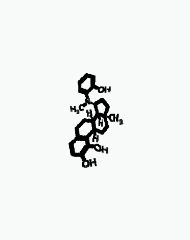 CN(c1ccccc1O)[C@@H]1CC[C@@]2(C)CC[C@@H]3c4c(ccc(O)c4O)CC[C@H]3[C@H]12